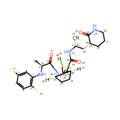 C[C@H](Nc1cc(F)ccc1F)C(=O)N1[C@@H]2CC[C@H]([C@@H]1C(=O)N[C@H](C#N)C[C@H]1CCCNC1=O)C(F)(F)C2